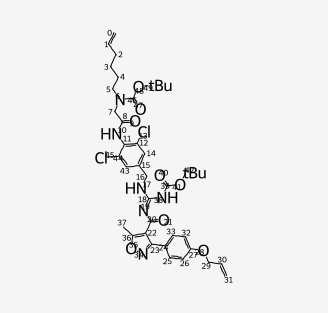 C=CCCCCN(CC(=O)Nc1c(Cl)cc(CN/C(=N/C(=O)c2c(-c3ccc(OCC=C)cc3)noc2C)NC(=O)OC(C)(C)C)cc1Cl)C(=O)OC(C)(C)C